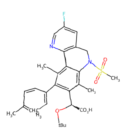 C=C(C)/C=C\C(=C/C)c1c(C)c2c(c(C)c1[C@H](OC(C)(C)C)C(=O)O)N(S(C)(=O)=O)Cc1cc(F)cnc1-2